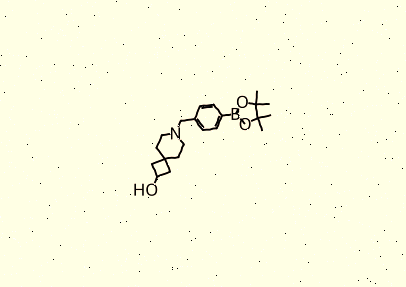 CC1(C)OB(c2ccc(CN3CCC4(CC3)CC(O)C4)cc2)OC1(C)C